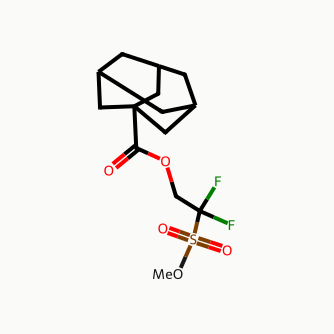 COS(=O)(=O)C(F)(F)COC(=O)C12CC3CC(CC(C3)C1)C2